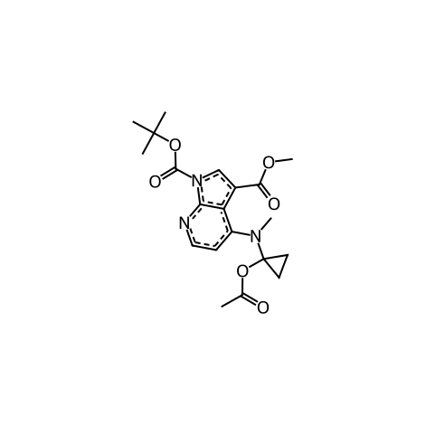 COC(=O)c1cn(C(=O)OC(C)(C)C)c2nccc(N(C)C3(OC(C)=O)CC3)c12